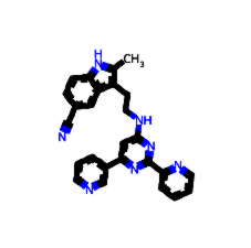 Cc1[nH]c2ccc(C#N)cc2c1CCNc1cc(-c2cccnc2)nc(-c2ccccn2)n1